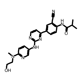 CC(C)C(=O)Nc1ccc(-c2ccnc(Nc3ccc(N(C)CCO)nc3)n2)cc1C#N